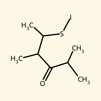 CC(C)C(=O)C(C)C(C)SI